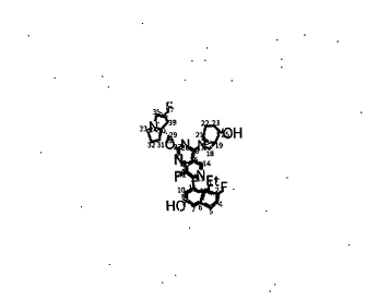 CCc1c(F)ccc2cc(O)cc(-c3ncc4c(N5CC6CC5CCC6O)nc(OC[C@]56CCCN5C[C@H](F)C6)nc4c3F)c12